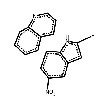 O=[N+]([O-])c1ccc2[nH]c(F)cc2c1.c1ccc2ncccc2c1